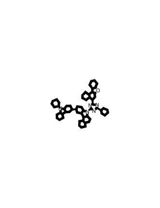 c1ccc(-c2nc(-c3cc4oc5ccccc5c4c4ccccc34)nc(-n3c4ccc(-c5ccc6c(c5)c5ccccc5n6-c5ccccc5)cc4c4c5ccccc5ccc43)n2)cc1